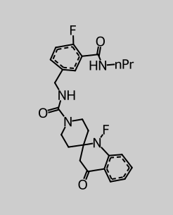 CCCNC(=O)c1cc(CNC(=O)N2CCC3(CC2)CC(=O)c2ccccc2N3F)ccc1F